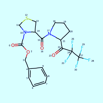 O=C(OCc1ccccc1)N1CSCC1C(=O)N1CCCC1C(=O)C(F)(F)C(F)(F)F